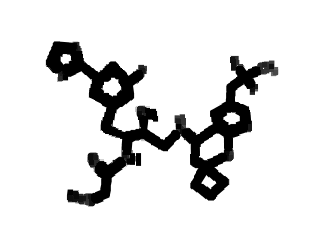 COCC(=O)N[C@@H](Cc1cc(F)cc(-c2nccs2)c1)[C@@H](O)CNC1CC2(CCC2)Oc2ncc(CC(C)(F)F)cc21